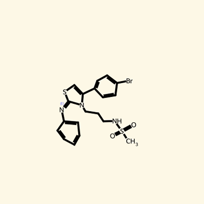 CS(=O)(=O)NCCCn1c(-c2ccc(Br)cc2)cs/c1=N/c1ccccc1